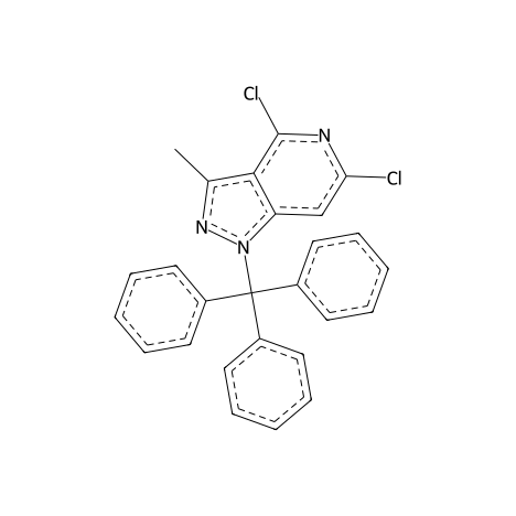 Cc1nn(C(c2ccccc2)(c2ccccc2)c2ccccc2)c2cc(Cl)nc(Cl)c12